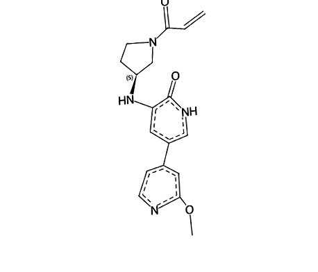 C=CC(=O)N1CC[C@H](Nc2cc(-c3ccnc(OC)c3)c[nH]c2=O)C1